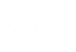 CCOC(=O)COc1ccc(C(=O)C(C)(C)Br)cc1